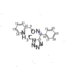 Cn1nnnc1/C(=N\OCc1ccc[c]n1)c1ccccc1